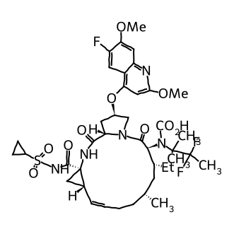 CC[C@@H]1C[C@H](C)CC/C=C\[C@@H]2C[C@@]2(C(=O)NS(=O)(=O)C2CC2)NC(=O)[C@@H]2C[C@@H](Oc3cc(OC)nc4cc(OC)c(F)cc34)CN2C(=O)[C@H]1N(C(=O)O)C(C)(C)C(C)(F)F